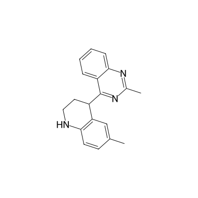 Cc1ccc2c(c1)C(c1nc(C)nc3ccccc13)CCN2